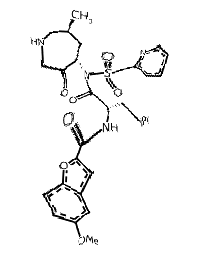 COc1ccc2oc(C(=O)N[C@@H](CC(C)C)C(=O)N([C@H]3C[C@H](C)CNCC3=O)S(=O)(=O)c3ccccn3)cc2c1